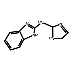 C1=NC(Nc2nc3ccccc3[nH]2)NC1